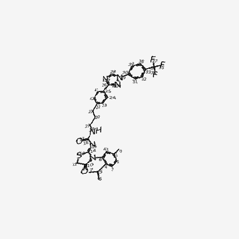 Cc1ccc(C(C)C)c(N2C(=O)CS/C2=N\C(=O)NCCCc2ccc(-c3ncn(-c4ccc(C(F)(F)F)cc4)n3)cc2)c1